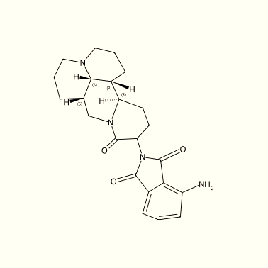 Nc1cccc2c1C(=O)N(C1CC[C@@H]3[C@H]4CCCN5CCC[C@@H](CN3C1=O)[C@@H]45)C2=O